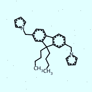 CCCCC1(CCCC)c2cc(Cn3cccc3)ccc2-c2ccc(Cn3cccc3)cc21